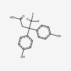 O=C(O)CC(c1ccc(O)cc1)(c1ccc(O)cc1)C(F)(F)F